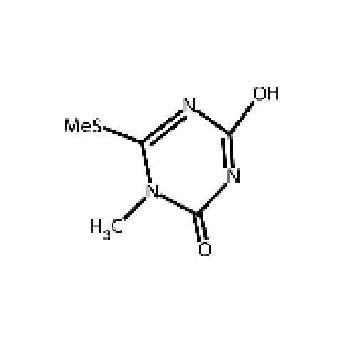 CSc1nc(O)nc(=O)n1C